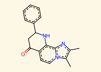 Cc1nc2c3c(ccn2c1C)C(=O)CC(c1ccccc1)N3